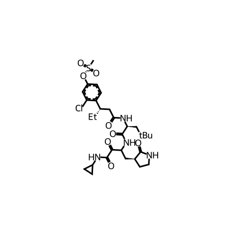 CC[C@@H](CC(=O)N[C@@H](CC(C)(C)C)C(=O)NC(C[C@@H]1CCNC1=O)C(=O)C(=O)NC1CC1)c1ccc(OS(C)(=O)=O)cc1Cl